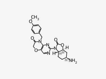 COc1ccc(CN2C(=O)COc3cnc(N4C(=O)O[C@H]5C[C@@H](N)CC[C@@H]54)nc32)cc1